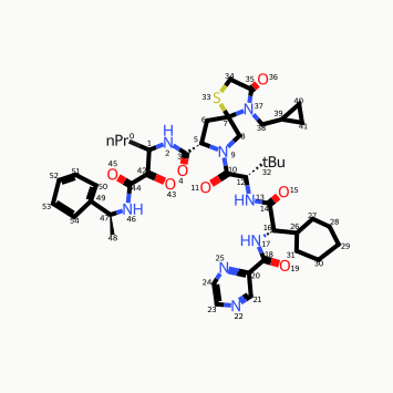 CCCC(NC(=O)[C@@H]1CC2(CN1C(=O)[C@@H](NC(=O)[C@@H](NC(=O)c1cnccn1)C1CCCCC1)C(C)(C)C)SCC(=O)N2CC1CC1)C(=O)C(=O)N[C@@H](C)c1ccccc1